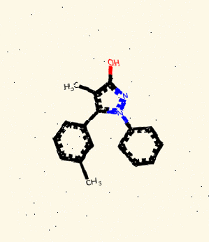 Cc1cccc(-c2c(C)c(O)nn2-c2ccccc2)c1